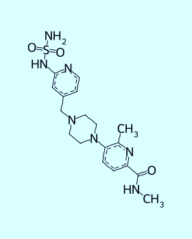 CNC(=O)c1ccc(N2CCN(Cc3ccnc(NS(N)(=O)=O)c3)CC2)c(C)n1